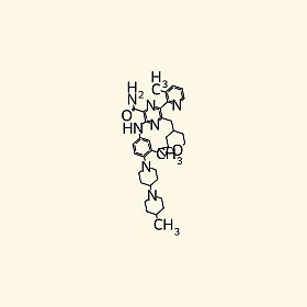 Cc1cc(Nc2nc(CC3CCOC4(CC4)C3)c(-c3ncccc3C)nc2C(N)=O)ccc1N1CCC(N2CCC(C)CC2)CC1